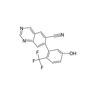 N#Cc1cc2cncnc2cc1-c1cc(O)ccc1C(F)(F)F